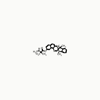 CBC(C)(C)C(=O)Oc1ccc2ccc3c(c2c1)N=CC1(O3)N(C)c2ccccc2C1(C)C